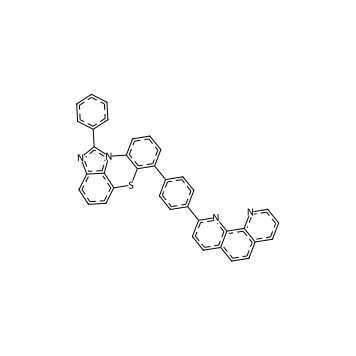 c1ccc(-c2nc3cccc4c3n2-c2cccc(-c3ccc(-c5ccc6ccc7cccnc7c6n5)cc3)c2S4)cc1